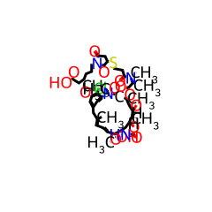 COc1cc2cc(c1Cl)N(C)C(=O)C[C@H](OC(=O)[C@H](C)N(C)C(=O)CCSC1CC(=O)N(CCCCCC(=O)O)C1=O)[C@]1(C)O[C@H]1[C@H](C)[C@@H]1C[C@@](O)(NC(=O)O1)[C@H](OC)/C=C/C=C(\C)C2